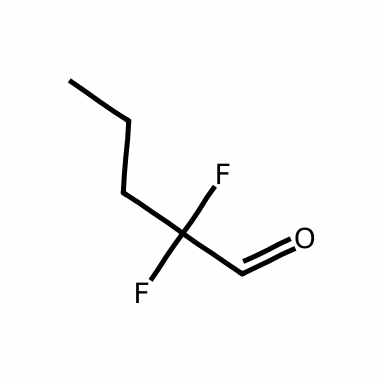 CCCC(F)(F)C=O